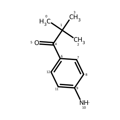 CC(C)(C)C(=O)c1ccc([NH])cc1